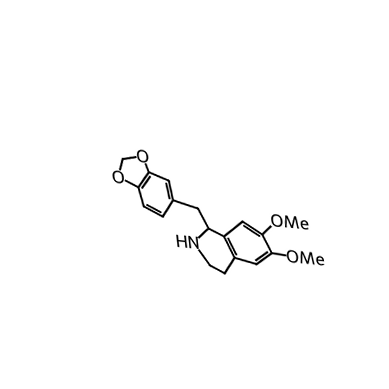 COc1cc2c(cc1OC)C(Cc1ccc3c(c1)OCO3)NCC2